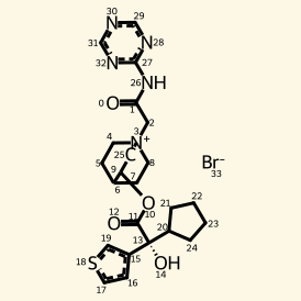 O=C(C[N+]12CCC(CC1)C(OC(=O)[C@](O)(c1ccsc1)C1CCCC1)C2)Nc1ncncn1.[Br-]